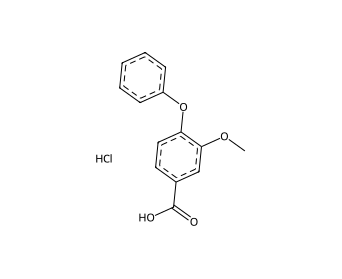 COc1cc(C(=O)O)ccc1Oc1ccccc1.Cl